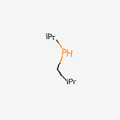 CC(C)CPC(C)C